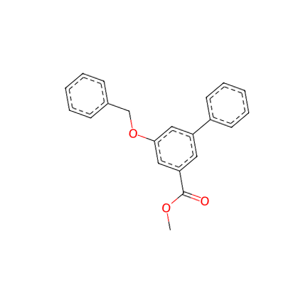 COC(=O)c1cc(OCc2ccccc2)cc(-c2ccccc2)c1